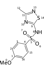 COc1ccc(S(=O)(=O)Nc2nc(C)ns2)cc1